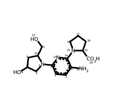 Nc1ccc(N2CC(O)CC2CO)nc1N1CCCC1C(=O)O